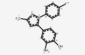 Nc1cc(-c2cc(C(F)(F)F)nn2-c2ccc(F)cc2)ccc1O